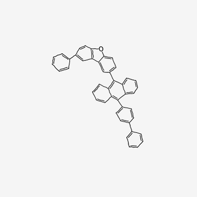 c1ccc(-c2ccc(-c3c4ccccc4c(-c4ccc5oc6ccc(-c7ccccc7)cc6c5c4)c4ccccc34)cc2)cc1